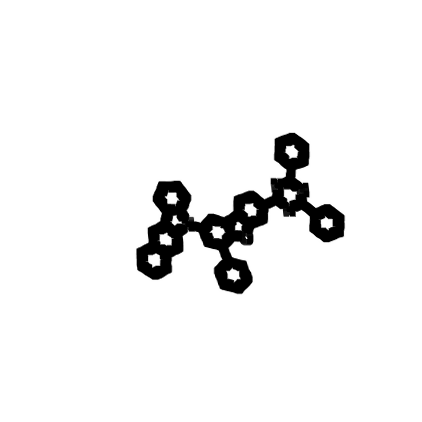 c1ccc(-c2nc(-c3ccccc3)nc(-c3ccc4c(c3)oc3c(-c5ccccc5)cc(-n5c6ccccc6c6cc7ccccc7cc65)cc34)n2)cc1